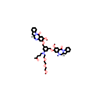 COCCOCCOCCN(CCCC(C)=O)c1cc(COc2cc3c(cc2OC)C(=O)N2c4ccccc4C[C@H]2C=N3)cc(COc2cc3c(cc2OC)C(=O)N2c4ccccc4C[C@H]2CN3C)c1